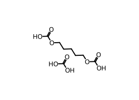 O=C(O)O.O=C(O)OCCCCCOC(=O)O